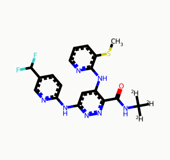 [2H]C([2H])([2H])NC(=O)c1nnc(Nc2ccc(C(F)F)cn2)cc1Nc1ncccc1SC